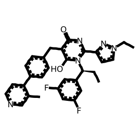 CC[C@@H](c1cc(F)cc(F)c1)n1c(-c2ccn(CC)n2)nc(=O)c(Cc2ccc(-c3ccncc3C)cc2)c1O